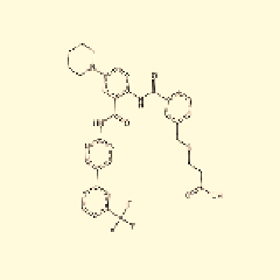 O=C(O)CCSCc1cccc(C(=O)Nc2ccc(N3CCCCC3)cc2C(=O)Nc2ncc(-c3cccc(C(F)(F)F)c3)cn2)c1